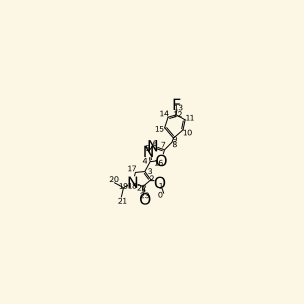 COC1=C(c2nnc(Cc3ccc(F)cc3)o2)CN(C(C)C)C1=O